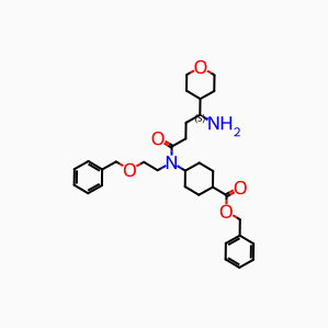 N[C@@H](CCC(=O)N(CCOCc1ccccc1)C1CCC(C(=O)OCc2ccccc2)CC1)C1CCOCC1